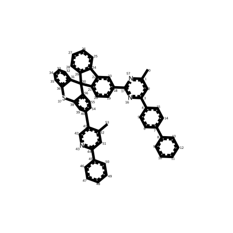 Cc1cc(-c2ccc(-c3ccccc3)cc2)nc(-c2ccc3c(c2)-c2ccccc2C32c3ccccc3Sc3cc(-c4cnc(-c5ccccc5)cc4C)ccc32)n1